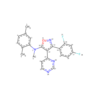 CC(=O)N(c1cc(C)ccc1C)c1onc(-c2ccc(F)cc2F)c1-c1ccncn1